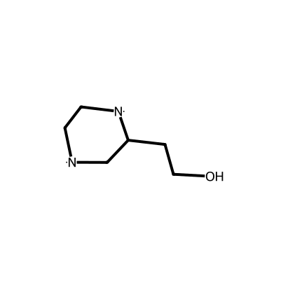 OCCC1C[N]CC[N]1